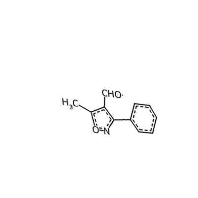 Cc1onc(-c2ccccc2)c1[C]=O